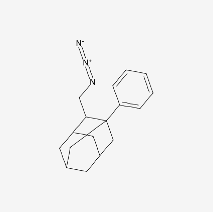 [N-]=[N+]=NCC1C2CC3CC(C2)CC1(c1ccccc1)C3